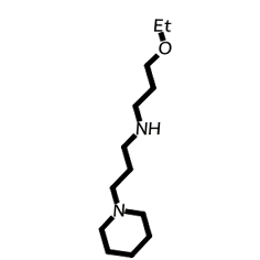 CCOCCCNCCCN1CCCCC1